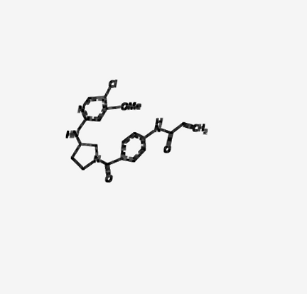 C=CC(=O)Nc1ccc(C(=O)N2CCC(Nc3cc(OC)c(Cl)cn3)C2)cc1